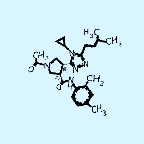 CC(=O)N1C[C@H](C(=O)Nc2ccc(C)cc2C)[C@@H](c2nnc(CCC(C)C)n2C2CC2)C1